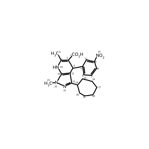 CC1=C(C(=O)O)C(c2cccc([N+](=O)[O-])c2)c2c(C3CCCCCC3)nn(C)c2N1